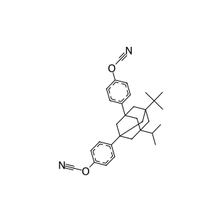 CC(C)C12CC3(c4ccc(OC#N)cc4)CC(c4ccc(OC#N)cc4)(C1)CC(C(C)(C)C)(C3)C2